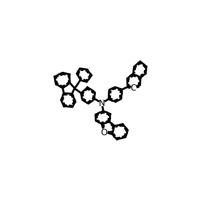 c1ccc(C2(c3ccc(N(c4ccc(-c5ccc6ccccc6c5)cc4)c4ccc5oc6ccccc6c5c4)cc3)c3ccccc3-c3ccccc32)cc1